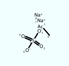 CC(C)=O.O=S(=O)([O-])[O-].[Na+].[Na+]